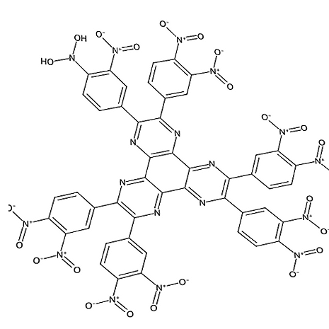 O=[N+]([O-])c1cc(-c2nc3c(nc2-c2ccc([N+](=O)[O-])c([N+](=O)[O-])c2)c2nc(-c4ccc([N+](=O)[O-])c([N+](=O)[O-])c4)c(-c4ccc([N+](=O)[O-])c([N+](=O)[O-])c4)nc2c2nc(-c4ccc([N+](=O)[O-])c([N+](=O)[O-])c4)c(-c4ccc([N+](=O)[O-])c([N+](=O)[O-])c4)nc32)ccc1N(O)O